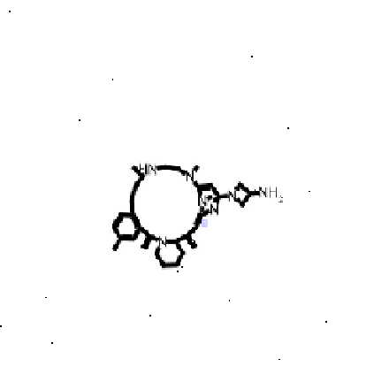 C=C1/C=C2/N=C(N3CC(N)C3)C=C(N(C)CCNC(C)CCc3ccc(C)cc3C(=C)N3CCCCC13)N2C